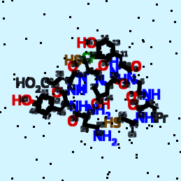 CC(C)C[C@H](NC(=O)CNC(=O)[C@H](Cc1ccc(O)c(Cl)c1)NC(=O)C1CC(O)CN1C(=O)[C@H](CS)NC(=O)[C@@H](CCC(=O)O)NC(=O)[C@H](Cc1ccc(O)cc1)NC(=O)[C@@H](N)CCN)C(=O)N[C@H](C)CS